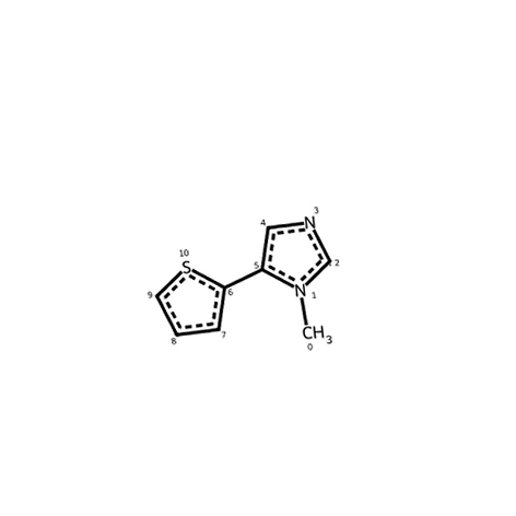 Cn1[c]ncc1-c1cccs1